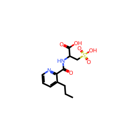 CCCc1cccnc1C(=O)NC(CS(=O)(=O)O)C(=O)O